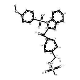 COc1ccc(S(=O)(=O)n2c(C(=O)c3ccc([C@H](C)NS(C)(=O)=O)cc3)cc3ccccc32)cc1